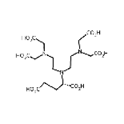 O=C(O)CC[C@@H](C(=O)O)N(CCN(CC(=O)O)CC(=O)O)CCN(CC(=O)O)CC(=O)O